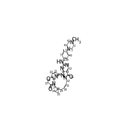 CN1CCN(c2ccc(Nc3ncc4c(=O)n5n(c4n3)-c3ccc4c(n3)N(CC3(C/C=C\C5)CC3)C(=O)CO4)cc2)CC1